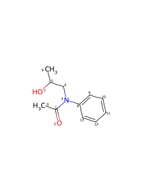 CC(=O)N(CC(C)O)c1ccccc1